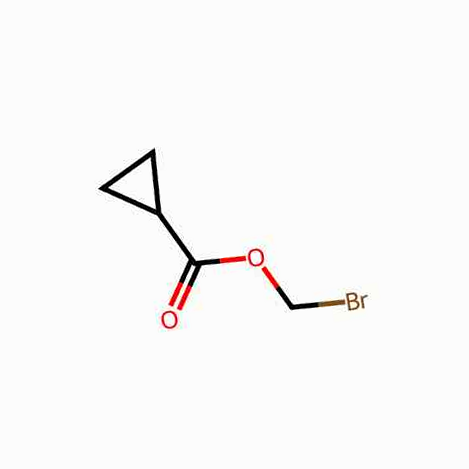 O=C(OCBr)C1CC1